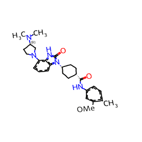 COc1cc(NC(=O)[C@H]2CC[C@@H](n3c(=O)[nH]c4c(N5CC[C@@H](N(C)C)C5)cccc43)CC2)ccc1C